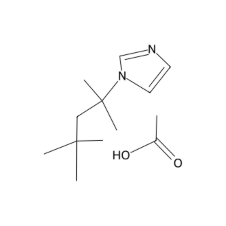 CC(=O)O.CC(C)(C)CC(C)(C)n1ccnc1